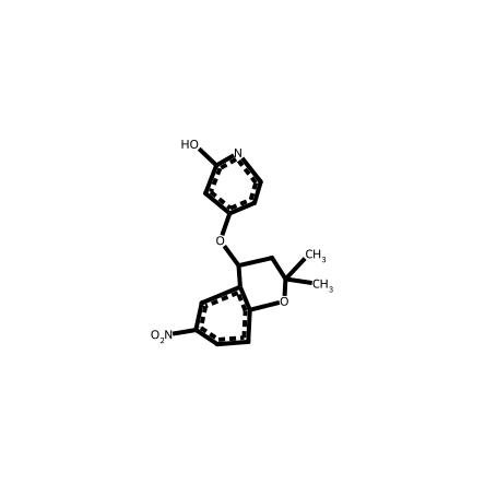 CC1(C)CC(Oc2ccnc(O)c2)c2cc([N+](=O)[O-])ccc2O1